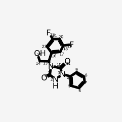 O=c1[nH]n(-c2ccccc2)c(=O)n1C(CO)c1cc(F)cc(F)c1